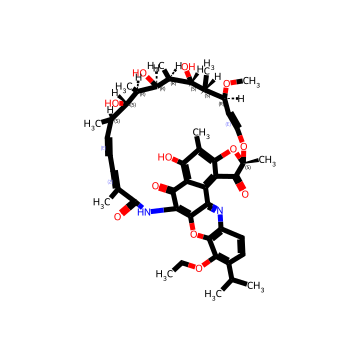 CCOc1c(C(C)C)ccc2nc3c4c5c6c(C)c(O)c4c(=O)c(c-3oc12)NC(=O)/C(C)=C\C=C\[C@H](C)[C@H](O)[C@@H](C)[C@@H](O)[C@@H](C)[C@H](O)[C@H](C)[C@@H](OC)/C=C/O[C@@](C)(O6)C5=O